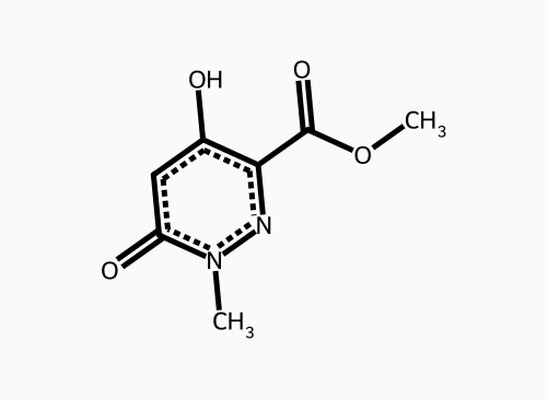 COC(=O)c1nn(C)c(=O)cc1O